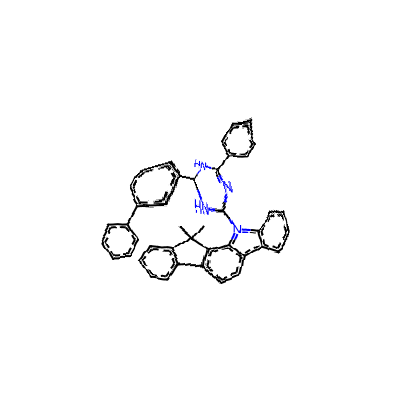 CC1(C)c2ccccc2-c2ccc3c4ccccc4n(C4N=C(c5ccccc5)NC(c5cccc(-c6ccccc6)c5)N4)c3c21